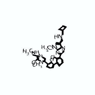 CNCc1ncc(-c2cccc(-c3cccc(-c4cnc5c(CNCC6CCC6)cn(C)c5n4)c3Cl)c2Cl)nc1OC